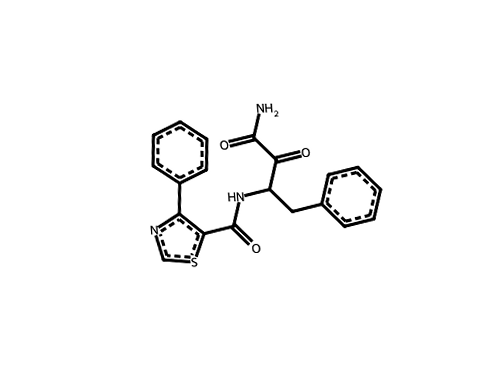 NC(=O)C(=O)C(Cc1ccccc1)NC(=O)c1scnc1-c1ccccc1